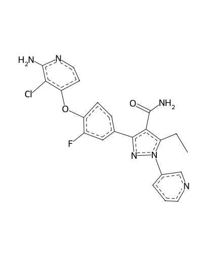 CCc1c(C(N)=O)c(-c2ccc(Oc3ccnc(N)c3Cl)c(F)c2)nn1-c1cccnc1